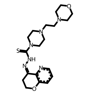 S=C(N/N=C1/CCOc2cccnc21)N1CCN(CCN2CCOCC2)CC1